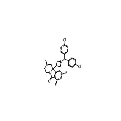 CC(=O)N1CCN(C)CC1(c1cc(F)cc(F)c1)C1CN(C(c2ccc(Cl)cc2)c2ccc(Cl)cc2)C1